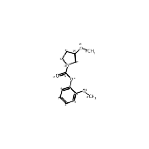 COc1ccccc1OC(=O)N1CCC(OC)C1